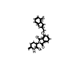 C=C1CCC(N2C(=O)c3cccc(OCc4cc5c(F)cccc5s4)c3C2=O)C(=O)N1